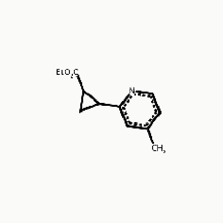 CCOC(=O)C1CC1c1cc(C)ccn1